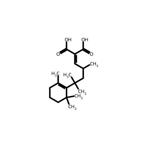 CC1=C(C(C)(C)CC(C)C=C(C(=O)O)C(=O)O)C(C)(C)CCC1